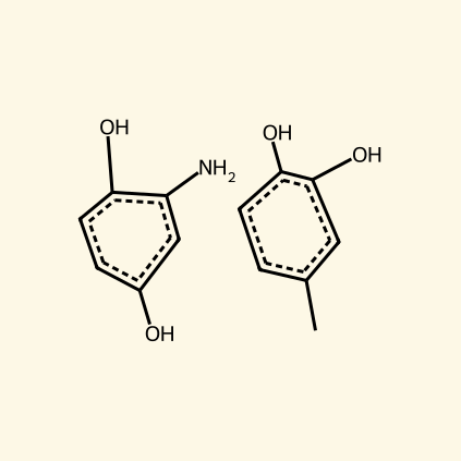 Cc1ccc(O)c(O)c1.Nc1cc(O)ccc1O